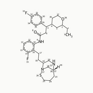 CCC1CC(C(CC(=O)Nc2cccc(F)c2CCC2CN[C@@H]3CCCSN2C3)c2ccc(F)cc2)CCO1